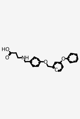 O=C(O)CCNCc1ccc(OCc2cccc(Oc3ccccc3)c2)cc1